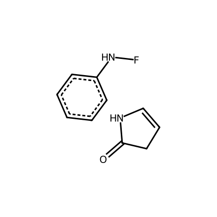 FNc1ccccc1.O=C1CC=CN1